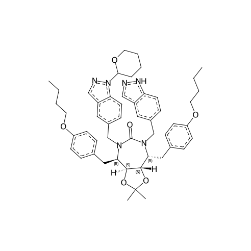 CCCCOc1ccc(C[C@@H]2[C@@H]3OC(C)(C)O[C@H]3[C@@H](Cc3ccc(OCCCC)cc3)N(Cc3ccc4c(cnn4C4CCCCO4)c3)C(=O)N2Cc2ccc3[nH]ncc3c2)cc1